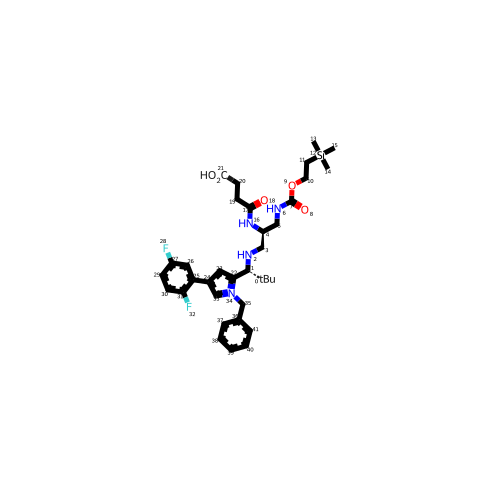 CC(C)(C)[C@@H](NC[C@H](CNC(=O)OCC[Si](C)(C)C)NC(=O)CCC(=O)O)c1cc(-c2cc(F)ccc2F)cn1Cc1ccccc1